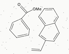 C=Cc1ccc2ccccc2c1.COC(=O)c1ccccc1